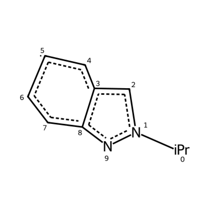 CC(C)n1cc2c[c]ccc2n1